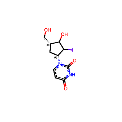 O=c1ccn([C@@H]2C[C@H](CO)C(O)C2I)c(=O)[nH]1